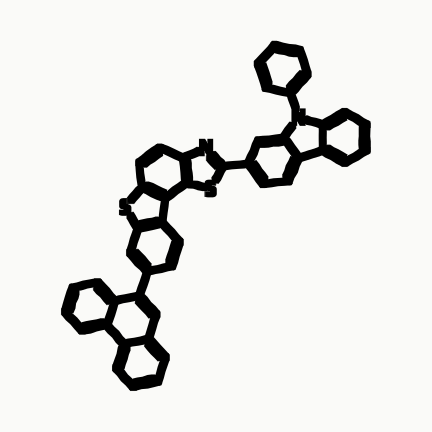 c1ccc(-n2c3ccccc3c3ccc(-c4nc5ccc6sc7cc(-c8cc9ccccc9c9ccccc89)ccc7c6c5s4)cc32)cc1